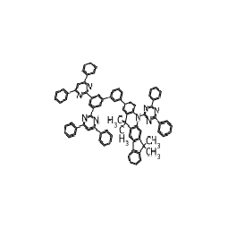 CC1(C)c2ccccc2-c2cc3c(cc21)N(c1nc(-c2ccccc2)nc(-c2ccccc2)n1)c1ccc(-c2cccc(-c4cc(-c5nc(-c6ccccc6)cc(-c6ccccc6)n5)cc(-c5nc(-c6ccccc6)cc(-c6ccccc6)n5)c4)c2)cc1C3(C)C